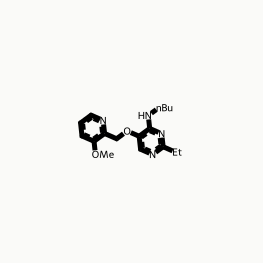 CCCCNc1nc(CC)ncc1OCc1ncccc1OC